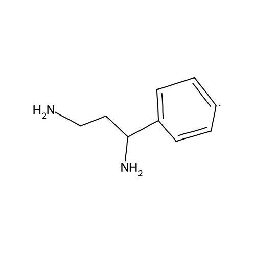 NCCC(N)c1cc[c]cc1